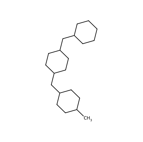 CC1CCC(CC2CCC(CC3CCCCC3)CC2)CC1